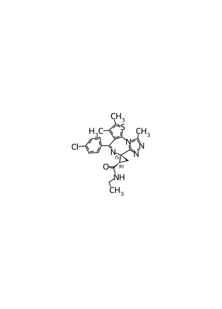 CCNC(=O)[C@@H]1C[C@]12N=C(c1ccc(Cl)cc1)c1c(sc(C)c1C)-n1c(C)nnc12